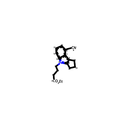 CCOC(=O)CCCn1c2c(c3c(C#N)cccc31)CCC2